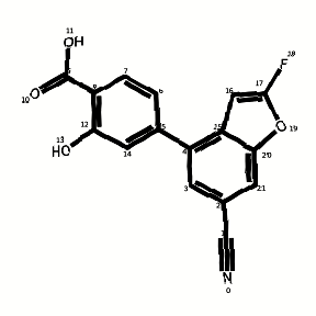 N#Cc1cc(-c2ccc(C(=O)O)c(O)c2)c2cc(F)oc2c1